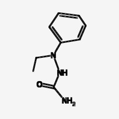 CCN(NC(N)=O)c1ccccc1